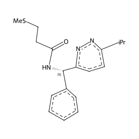 CSCCC(=O)N[C@@H](c1ccccc1)c1ccc(C(C)C)nn1